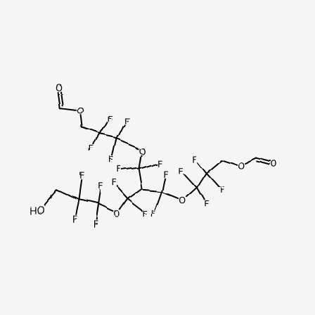 O=COCC(F)(F)C(F)(F)OC(F)(F)C(C(F)(F)OC(F)(F)C(F)(F)CO)C(F)(F)OC(F)(F)C(F)(F)COC=O